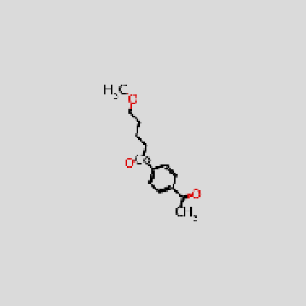 COCCC[CH2][Co](=[O])[c]1ccc(C(C)=O)cc1